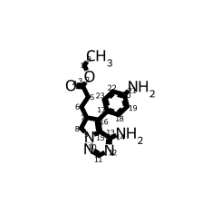 CCOC(=O)CCC1CN2N=CN=C(N)C2=C1c1ccc(N)cc1